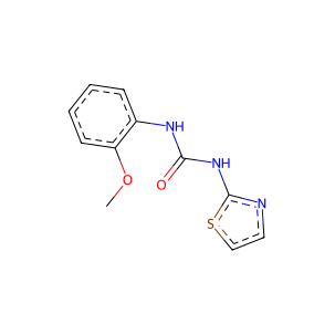 COc1ccccc1NC(=O)Nc1nccs1